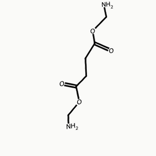 NCOC(=O)CCC(=O)OCN